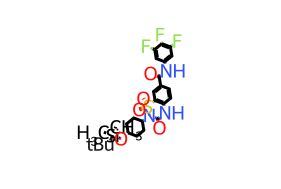 CC(C)(C)[Si](C)(C)OC1CCC(N2C(=O)Nc3ccc(C(=O)Nc4cc(F)c(F)c(F)c4)cc3S2(=O)=O)CC1